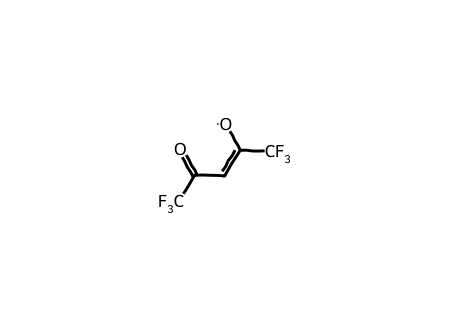 [O]C(=CC(=O)C(F)(F)F)C(F)(F)F